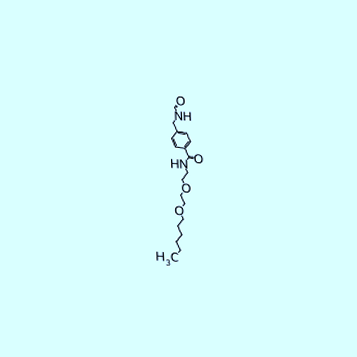 CCCCCCOCCOCCNC(=O)c1ccc(CNC=O)cc1